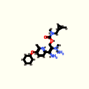 Cc1nc(/C(N)=C(\COC(=O)N(C)CC2CC2C)N(C)N)ccc1OC1CCCCC1